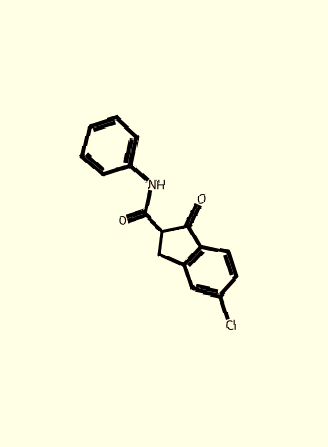 O=C(Nc1ccccc1)C1Cc2cc(Cl)ccc2C1=O